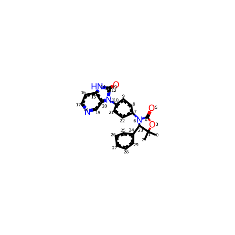 CC1(C)OC(=O)N(c2ccc(-n3c(=O)[nH]c4ccncc43)cc2)C1c1ccccc1